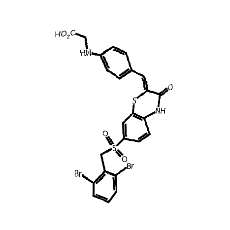 O=C(O)CNc1ccc(/C=C2\Sc3cc(S(=O)(=O)Cc4c(Br)cccc4Br)ccc3NC2=O)cc1